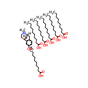 CCCCCCCCCC(=O)O.CCCCCCCCCC(=O)O.CCCCCCCCCC(=O)O.CCCCCCCCCC(=O)O.CCCCCCCCCC(=O)O.CCCCCCCCCC(=O)O.CN1CC[C@]23CCCC[C@H]2[C@H]1Cc1ccc(O)cc13